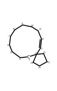 C1=C\C2(CCCCCCCCC/1)CCCC2